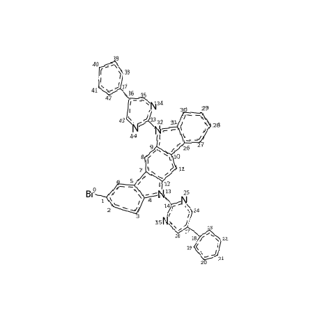 Brc1ccc2c(c1)c1cc3c(cc1n2-c1ncc(-c2ccccc2)cn1)c1ccccc1n3-c1ncc(-c2ccccc2)cn1